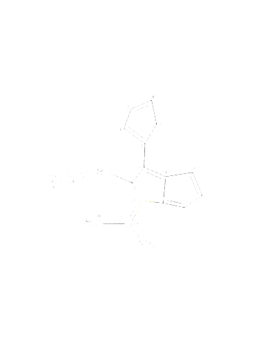 CC1C(C2=CC=CC2)=C2C=CC=C2S1=[Si](C)C.[Cl-].[Cl-].[Zr+2]